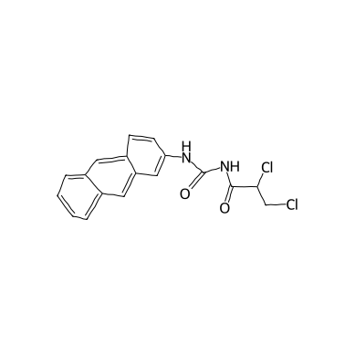 O=C(NC(=O)C(Cl)CCl)Nc1ccc2cc3ccccc3cc2c1